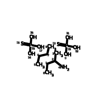 CCC(C)N.CCCC.OP(O)(O)=S.OP(O)(O)=S